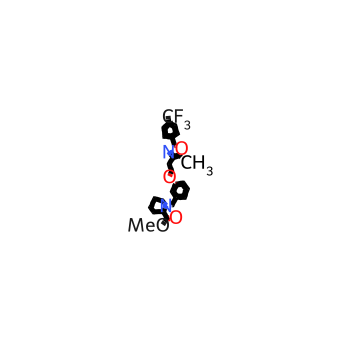 COC(=O)C1CCCCN1Cc1cccc(OCCc2nc(-c3ccc(C(F)(F)F)cc3)oc2C)c1